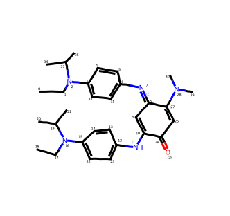 CCN(c1ccc(/N=C2\C=C(Nc3ccc(N(CC)C(C)C)cc3)C(=O)C=C2N(C)C)cc1)C(C)C